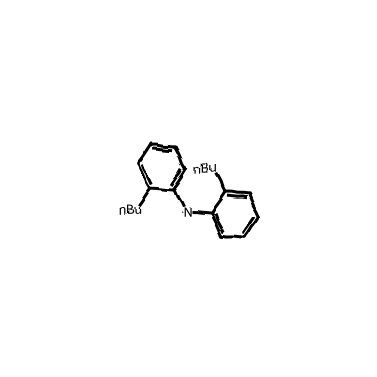 CCCCc1ccccc1[N]c1ccccc1CCCC